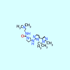 Cc1ncc(-c2ccnc(NC3CCN(C(=O)NCCN(C)C)C3)n2)n1C(C)C